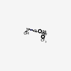 CN(C/C=C/COC[C@H]1CC[C@H](CN(C)S(=O)(=O)c2ccc(C(F)(F)F)cc2)CC1)CCO